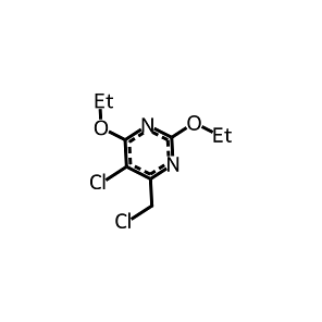 CCOc1nc(CCl)c(Cl)c(OCC)n1